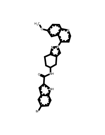 COc1ccc2nccc(-n3cc4c(n3)CCC(NC(=O)c3cc5cc(Br)ccc5[nH]3)C4)c2c1